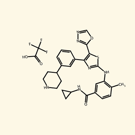 Cc1ccc(C(=O)NC2CC2)cc1Nc1nc(-c2cccc(C3CCNCC3)c2)c(-c2nnco2)s1.O=C(O)C(F)(F)F